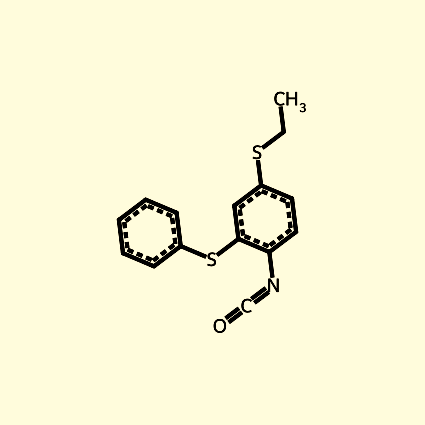 CCSc1ccc(N=C=O)c(Sc2ccccc2)c1